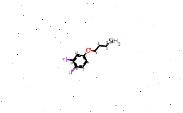 [SiH3]CCCOc1ccc(I)c(I)c1